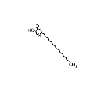 CCCCCCCCCCCCCCCCC1=NC=C(O)C(=O)C1